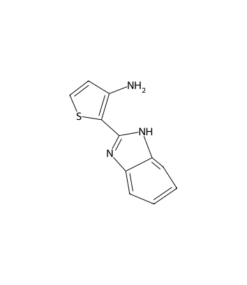 Nc1ccsc1-c1nc2ccccc2[nH]1